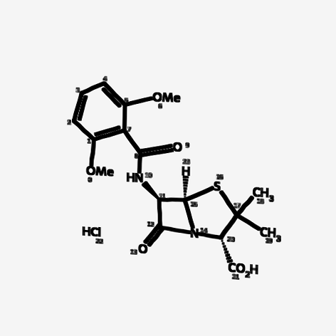 COc1cccc(OC)c1C(=O)N[C@@H]1C(=O)N2[C@@H]1SC(C)(C)[C@@H]2C(=O)O.Cl